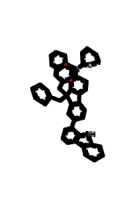 c1ccc(CC2(Cc3ccccc3)c3cc(-c4cccc5c4[nH]c4ccccc45)ccc3-c3ccc(N(c4ccccc4)c4ccccc4)cc32)cc1